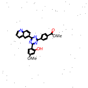 COC(=O)c1ccc(-c2nc(-c3ccc4ncccc4c3)nc(-c3ccc(OC)cc3O)n2)cc1